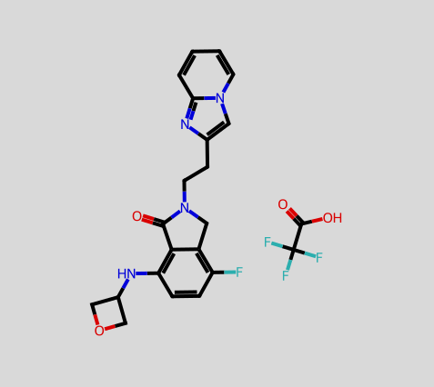 O=C(O)C(F)(F)F.O=C1c2c(NC3COC3)ccc(F)c2CN1CCc1cn2ccccc2n1